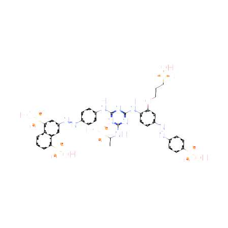 CC(Nc1nc(Nc2ccc(N=Nc3cc(S(=O)(=O)O)c4cccc(S(=O)(=O)O)c4c3)cc2)nc(Nc2ccc(N=Nc3ccc(S(=O)(=O)O)cc3)cc2OCCCS(=O)(=O)O)n1)S(=O)(=O)O